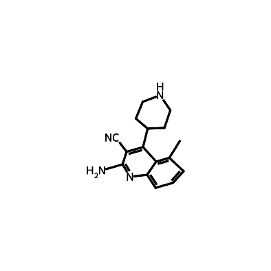 Cc1cccc2nc(N)c(C#N)c(C3CCNCC3)c12